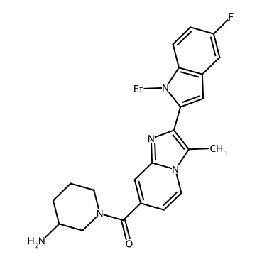 CCn1c(-c2nc3cc(C(=O)N4CCCC(N)C4)ccn3c2C)cc2cc(F)ccc21